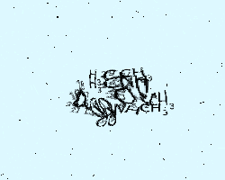 CC(C)C(=O)[C@@H]1CC(NC(=O)OC(=O)OCc2ccccc2)CC[C@@H]1NC(C)(C)C